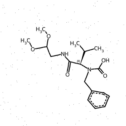 COC(CNC(=O)[C@@H](C(C)C)N(Cc1ccccc1)C(=O)O)OC